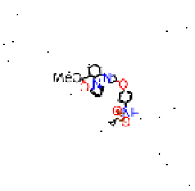 COC(=O)c1cccc(N2CC(Oc3ccc(NS(=O)(=O)C4CC4)cc3)C2)c1-n1cccc1